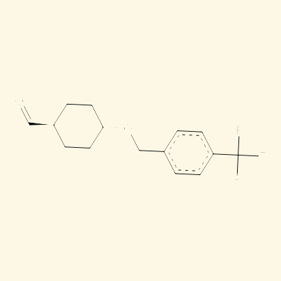 O=C[C@H]1CC[C@H](OCc2ccc(C(F)(F)F)cc2)CC1